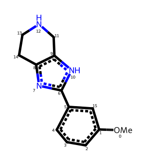 COc1cccc(-c2nc3c([nH]2)CNCC3)c1